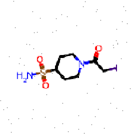 NS(=O)(=O)C1CCN(C(=O)CI)CC1